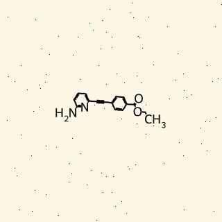 CCOC(=O)c1ccc(C#Cc2cccc(N)n2)cc1